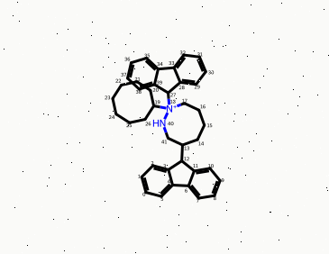 c1ccc2c(c1)-c1ccccc1C2C1CCCC[N+](C2CCCCCCC2)(C2c3ccccc3-c3ccccc32)NC1